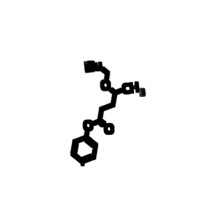 CCC(C)COC(C)CCC(=O)Oc1cc[c]cc1